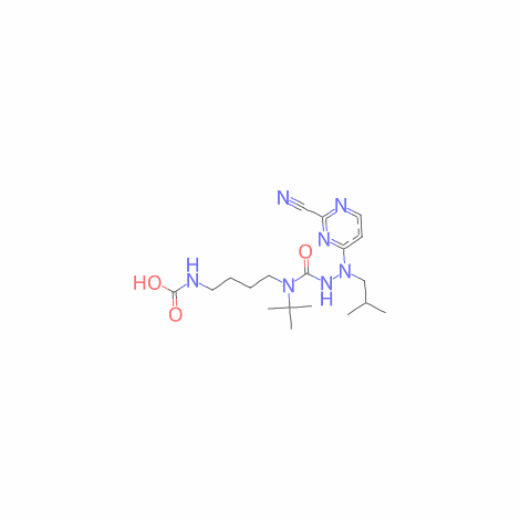 CC(C)CN(NC(=O)N(CCCCNC(=O)O)C(C)(C)C)c1ccnc(C#N)n1